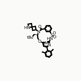 Cc1cccc(C)c1-c1cc2nc(n1)NS(=O)(=O)c1cccc(c1)C(=O)N(C1CC3(CCN3)C1)[C@H](CC(C)(C)C)CO2